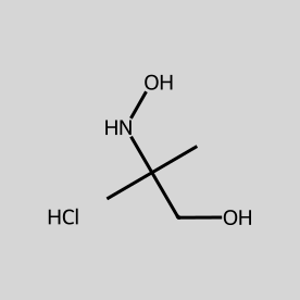 CC(C)(CO)NO.Cl